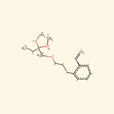 C=Cc1ccccc1CCCO[SiH2]C(CC)(OC)OC